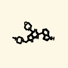 CN1CCN(Cc2cc3c(N4CCOCC4)nc(-c4cccc5[nH]ccc45)nc3s2)CC1